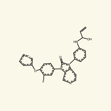 C=CC(O)Nc1cccc(-n2c(=O)n(-c3ccc(Oc4ccccc4)c(F)c3)c3cnccc32)c1